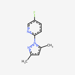 Cc1cc(C)n(-c2ccc(F)cn2)n1